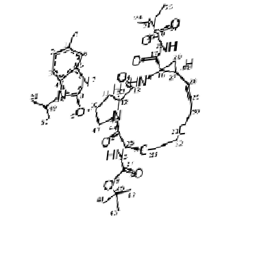 Cc1ccc2c(c1)nc(O[C@@H]1C[C@H]3C(=O)N[C@]4(C(=O)NS(=O)(=O)N(C)C)C[C@H]4/C=C\CCCCC[C@H](NC(=O)OC(C)(C)C)C(=O)N3C1)n2C(C)C